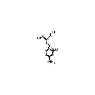 Nc1ccn(CC/C(=C\Cl)CO)c(=O)n1